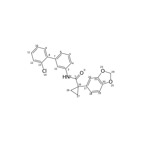 O=C(Nc1cccc(-c2ccccc2Cl)c1)C1(c2ccc3c(c2)OCO3)CC1